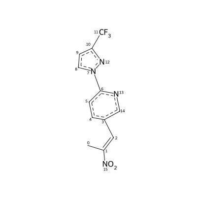 CC(=Cc1ccc(-n2ccc(C(F)(F)F)n2)nc1)[N+](=O)[O-]